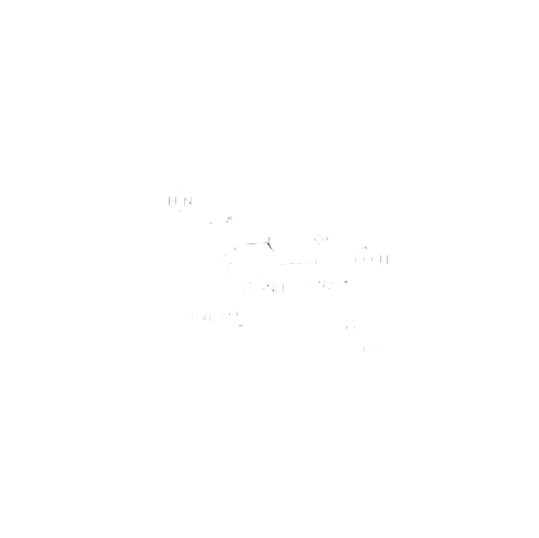 CC(C)(C)OCC(NC(=O)[C@H](CSCCN)NC(=O)OC(C)(C)C)C(=O)O